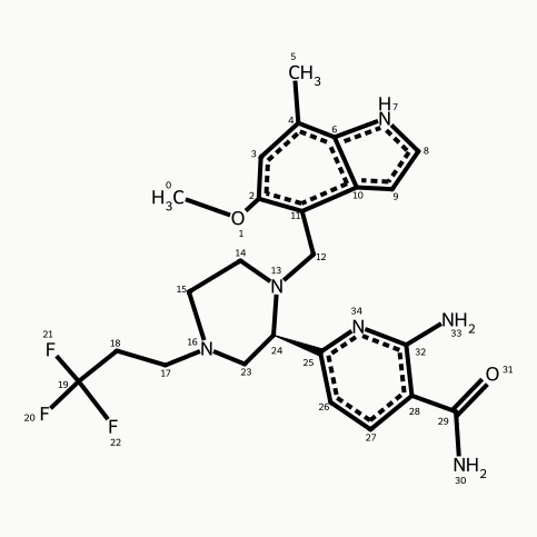 COc1cc(C)c2[nH]ccc2c1CN1CCN(CCC(F)(F)F)C[C@@H]1c1ccc(C(N)=O)c(N)n1